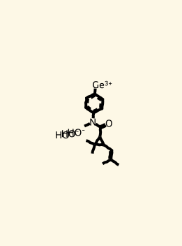 CC(C)=CC1C(C(=O)N(C)c2cc[c]([Ge+3])cc2)C1(C)C.[OH-].[OH-].[OH-]